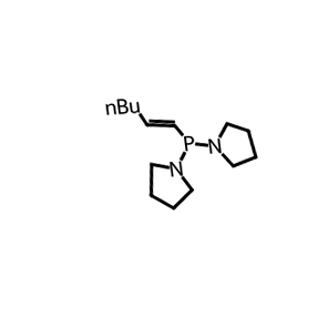 CCCCC=CP(N1CCCC1)N1CCCC1